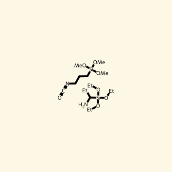 CCO[Si](OCC)(OCC)C(N)CC.CO[Si](CCCN=C=O)(OC)OC